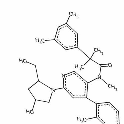 Cc1cc(C)cc(C(C)(C)C(=O)N(C)c2cnc(N3CC(O)CC3CO)cc2-c2ccc(F)cc2C)c1